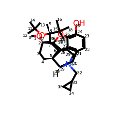 CO[C@@]12CC[C@@]3(C[C@@H]1[C@](C)(OC(C)(C)C)C(C)(C)C)[C@H]1Cc4ccc(O)c5c4C3(CCN1CC1CC1)C2O5